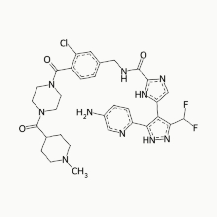 CN1CCC(C(=O)N2CCN(C(=O)c3ccc(CNC(=O)c4ncc(-c5c(C(F)F)n[nH]c5-c5ccc(N)cn5)[nH]4)cc3Cl)CC2)CC1